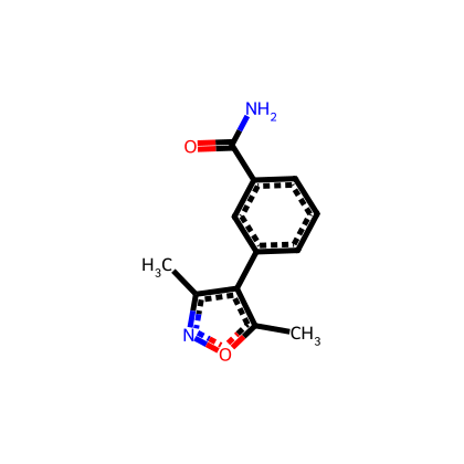 Cc1noc(C)c1-c1cccc(C(N)=O)c1